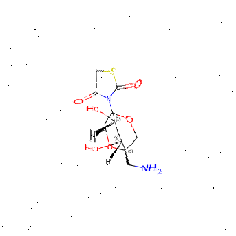 NC[C@@]12COC(N3C(=O)CSC3=O)(CO1)[C@@H](O)[C@H]2O